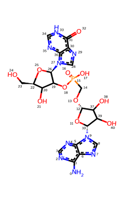 Nc1ncnc2c1ncn2[C@@H]1O[C@H](OCP(=O)(O)OC2C(O)[C@@H](CO)O[C@H]2n2cnc3c(=O)[nH]cnc32)C(O)C1O